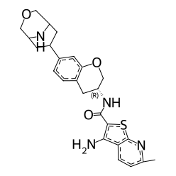 Cc1ccc2c(N)c(C(=O)N[C@H]3COc4cc(C5CC6COCC(C5)N6)ccc4C3)sc2n1